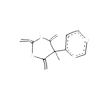 CC1(c2ccncn2)C(=O)NC(=O)NC1=O